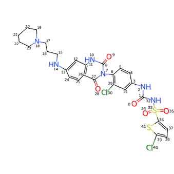 O=C(Nc1ccc(-n2c(=O)[nH]c3cc(NCCCN4CCCCC4)ccc3c2=O)c(Cl)c1)NS(=O)(=O)c1ccc(Cl)s1